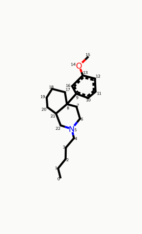 CCCCCN1CCC2(c3cccc(OC)c3)CCCCC2C1